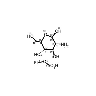 CCOS(=O)(=O)O.N[C@@H]1[C@@H](O)[C@H](O)[C@@H](CO)O[C@H]1O